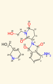 Nc1cccc2c1C(=O)N(C1CCC(=O)N(CCO)C1=O)C2=O.O=C(O)c1cccnc1